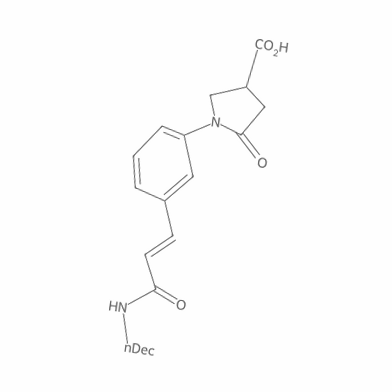 CCCCCCCCCCNC(=O)C=Cc1cccc(N2CC(C(=O)O)CC2=O)c1